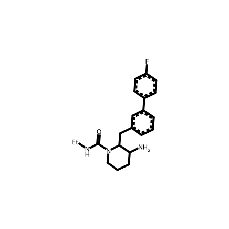 CCNC(=O)N1CCCC(N)C1Cc1cccc(-c2ccc(F)cc2)c1